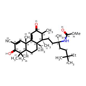 CCC(C)(C)CC[C@@](C)(CC[C@]1(C)C(C)C(=O)C=C2[C@@]3(C)C=C(C#N)C(=O)C(C)(C)[C@@H]3CC[C@]21C)NC(=O)OC